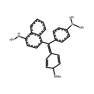 CCCNc1ccc(C(=C2C=CC(NC)C=C2)c2ccc(N(CCC)CCC)cc2)c2ccccc12